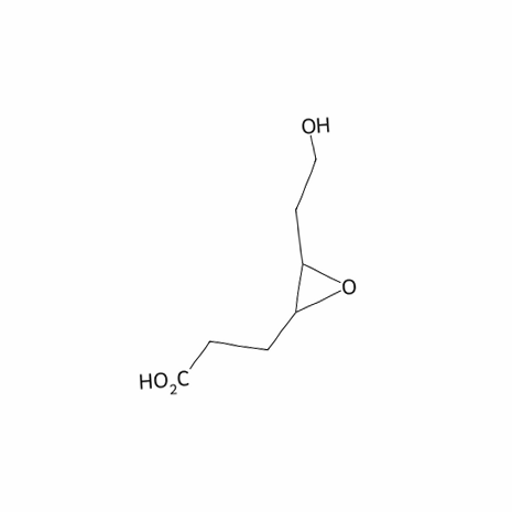 O=C(O)CCC1OC1CCO